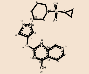 O=S(=O)(C1CC1)N1CCC[C@@H](n2cc(Oc3nc(O)c4ccncc4n3)cn2)C1